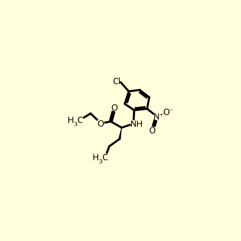 CCC[C@H](Nc1cc(Cl)ccc1[N+](=O)[O-])C(=O)OCC